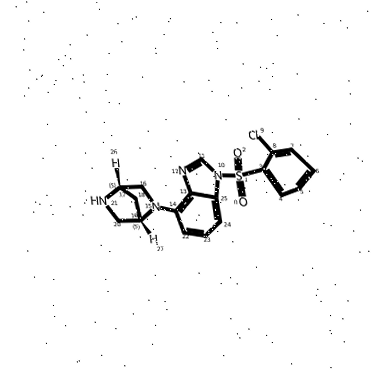 O=S(=O)(c1ccccc1Cl)n1cnc2c(N3C[C@@H]4C[C@H]3CN4)cccc21